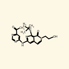 CC(=O)c1cc(Nc2cc3ccn(CCO)c(=O)c3c(NC(C)(C)C)n2)ncn1